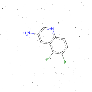 Nc1cnc2ccc(F)c(F)c2c1